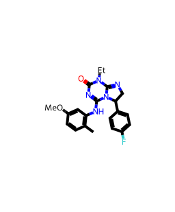 CCN1C(=O)N=C(Nc2cc(OC)ccc2C)N2C1=NCC2c1ccc(F)cc1